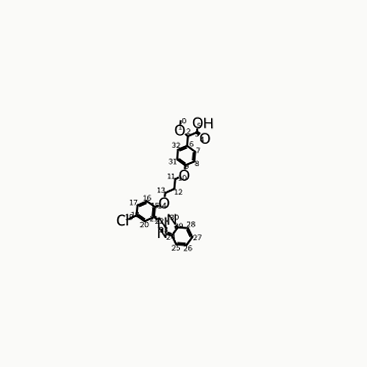 COC(C(=O)O)c1ccc(OCCCOc2ccc(Cl)cc2-n2nc3ccccc3n2)cc1